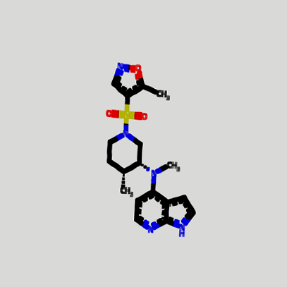 Cc1oncc1S(=O)(=O)N1CC[C@@H](C)[C@@H](N(C)c2ccnc3[nH]ccc23)C1